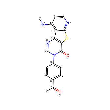 CNc1ccnc2sc3c(=O)n(-c4ccc(C(C)=O)cc4)cnc3c12